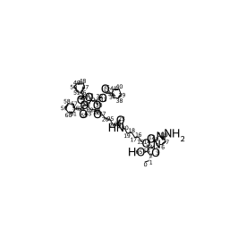 CC[C@H]1O[C@@H](n2ccc(N)nc2=O)[C@@H](OCCCCCCNC(=O)CCCCO[C@@H]2O[C@H](COC(=O)c3ccccc3)[C@H](OC(=O)c3ccccc3)[C@H](OC(=O)c3ccccc3)[C@H]2C)C1O